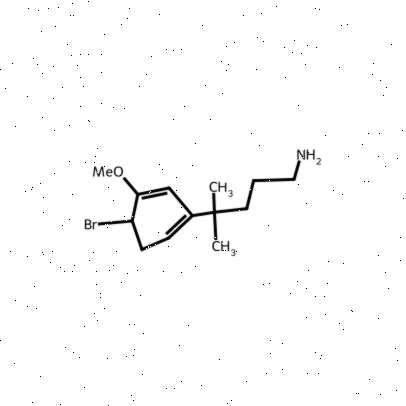 COC1=CC(C(C)(C)CCCN)=CCC1Br